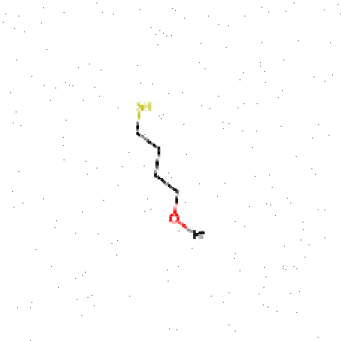 [CH2]COCCCCS